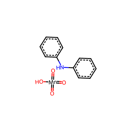 [O]=[Mn](=[O])(=[O])[OH].c1ccc(Nc2ccccc2)cc1